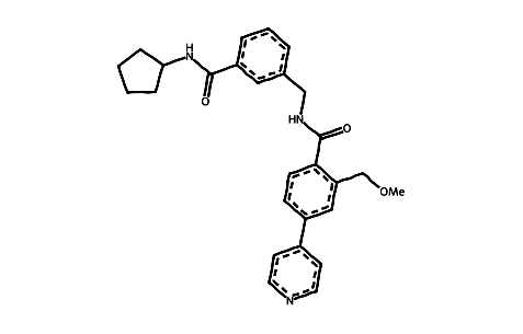 COCc1cc(-c2ccncc2)ccc1C(=O)NCc1cccc(C(=O)NC2CCCC2)c1